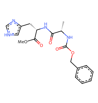 COC(=O)[C@H](Cc1c[nH]cn1)NC(=O)[C@H](C)NC(=O)OCc1ccccc1